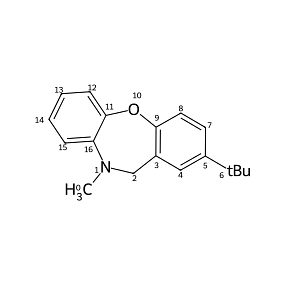 CN1Cc2cc(C(C)(C)C)ccc2Oc2ccccc21